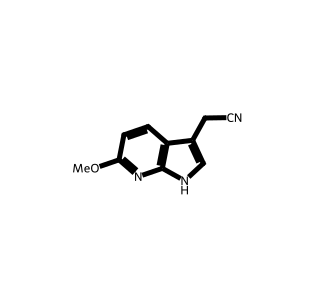 COc1ccc2c(CC#N)c[nH]c2n1